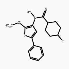 CC(C)N(C(=O)C1CCC(Cl)CC1)c1cc(-c2ccccc2)sc1OC(=O)O